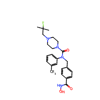 CC(C)(F)CN1CCN(C(=O)N(Cc2ccc(C(=O)NO)cc2)c2cccc(C(F)(F)F)c2)CC1